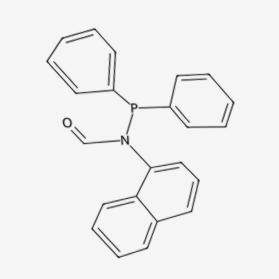 O=CN(c1cccc2ccccc12)P(c1ccccc1)c1ccccc1